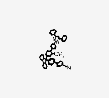 CC1CC(C2(c3ccc(-c4ccc(C#N)cc4)cc3)c3ccccc3-c3ccccc32)=CC=C1c1ccc(-c2nc(-c3ccccc3)cc(-c3ccccc3)n2)cc1